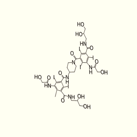 Cc1c(NC(=O)CO)c(I)c(C(=O)NC2CCN(C(=O)c3c(I)c(NC(=O)CO)c(I)c(C(=O)NCC(O)CO)c3I)CC2)c(I)c1C(=O)NCC(O)CO